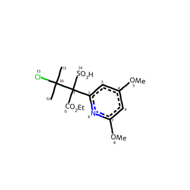 CCOC(=O)C(c1cc(OC)cc(OC)n1)(C(C)(C)Cl)S(=O)(=O)O